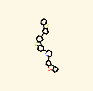 c1cc(-c2ccc3oc4ccccc4c3c2)nc(-c2ccc3sc4ccc(-c5ccc6sc7ccccc7c6c5)cc4c3c2)c1